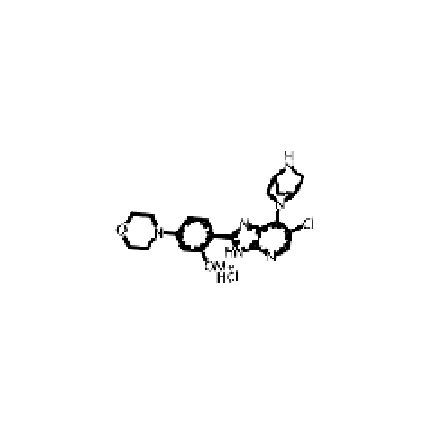 COc1cc(N2CCOCC2)ccc1-c1nc2c(N3CC4CC3CN4)c(Cl)cnc2[nH]1.Cl